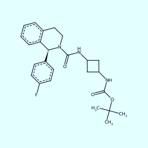 CC(C)(C)OC(=O)NC1CC(NC(=O)N2CCc3ccccc3[C@@H]2c2ccc(F)cc2)C1